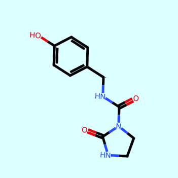 O=C(N[CH]c1ccc(O)cc1)N1CCNC1=O